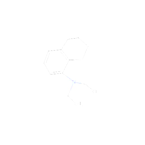 CCN(CC)c1cccc2c1CCCC2